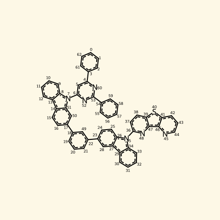 c1ccc(-c2cc(-n3c4ccccc4c4ccc(-c5cccc(-c6ccc7c(c6)c6ccccc6n7-c6ccc7sc8cccnc8c7n6)c5)cc43)nc(-c3ccccc3)n2)cc1